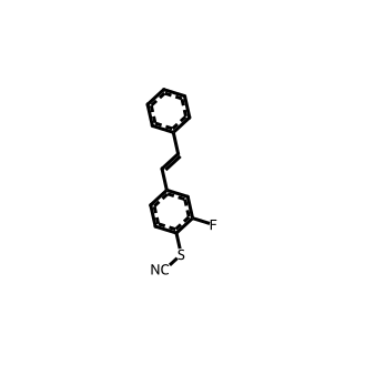 N#CSc1ccc(/C=C/c2ccccc2)cc1F